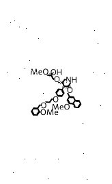 COC[C@@H](O)COC[C@H]1CNC[C@H](OCc2cc(OC)c3ccccc3c2)[C@H]1c1ccc(OCCCOCc2ccccc2OC)cc1